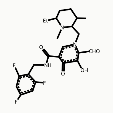 CCC1CCC(C)C(Cn2cc(C(=O)NCc3c(F)cc(F)cc3F)c(=O)c(O)c2C=O)N1C